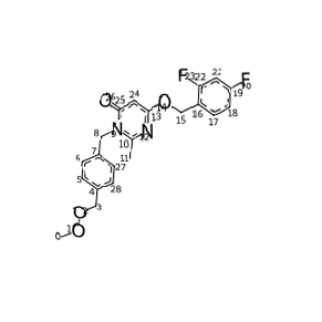 COOCc1ccc(Cn2c(C)nc(OCc3ccc(F)cc3F)cc2=O)cc1